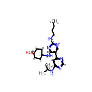 CCCCNc1ncc(-c2cc(NC(C)C)ncn2)c(NC2CCC(O)CC2)n1